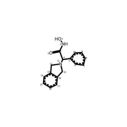 O=C(NO)C(c1ccccc1)N1Cc2ccccc2C1